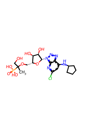 CC(CO)(OC[C@H]1O[C@@H](n2nnc3c(NC4CCCC4)cc(Cl)nc32)[C@H](O)[C@@H]1O)P(=O)(O)O